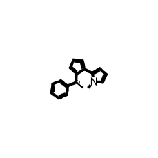 C[C@H](C1=CC=C=C1c1cccn1C)c1ccccc1